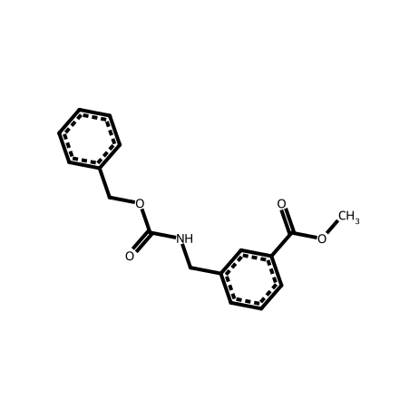 COC(=O)c1cccc(CNC(=O)OCc2ccccc2)c1